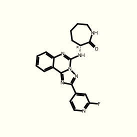 O=C1NCCCC[C@H]1Nc1nc2ccccc2c2nc(-c3ccnc(F)c3)nn12